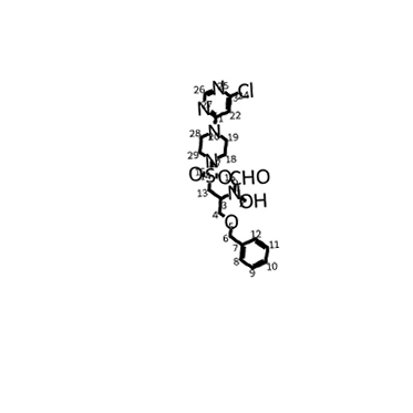 O=CN(O)C(COCc1ccccc1)CS(=O)(=O)N1CCN(c2cc(Cl)ncn2)CC1